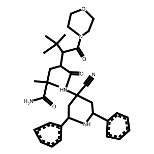 CC(C)(C)[C](C(=O)N1CCOCC1)C(CC(C)(C)C(N)=O)C(=O)NC1(C#N)CC(c2ccccc2)NC(c2ccccc2)C1